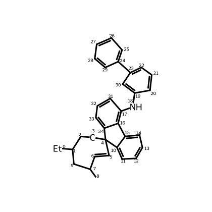 CCC1CCC2(/C=C/C(C)C1)c1ccccc1-c1c(Nc3cccc(-c4ccccc4)c3)cccc12